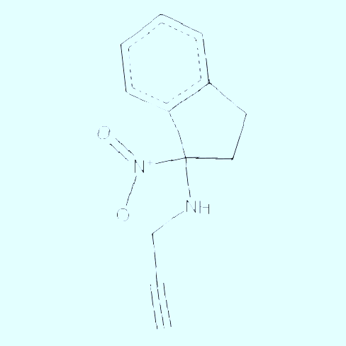 C#CCNC1([N+](=O)[O-])CCc2ccccc21